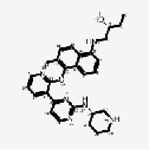 CC[C@@H](O)CNc1cccc2c(Oc3ncccc3-c3ccnc(N[C@H]4CCCNC4)n3)c(C)ccc12